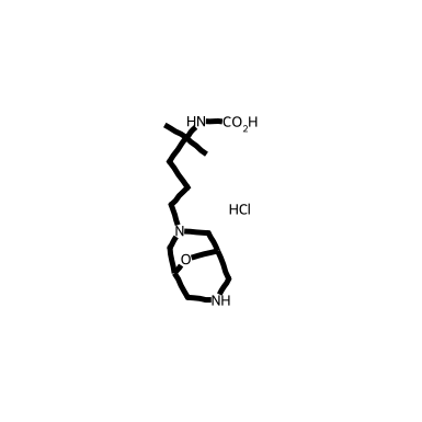 CC(C)(CCCN1CC2CNCC(C1)O2)NC(=O)O.Cl